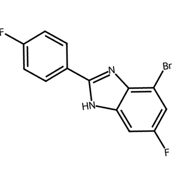 Fc1ccc(-c2nc3c(Br)cc(F)cc3[nH]2)cc1